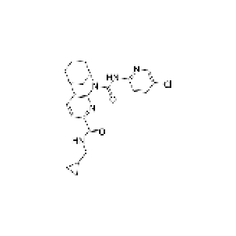 O=C(NCC1CC1)c1ccc2c(n1)N(C(=O)Nc1ccc(Cl)cn1)C1CCCN2C1